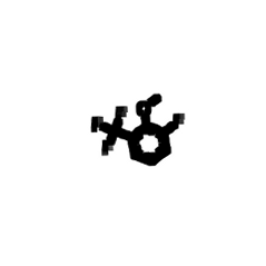 COc1c(F)cccc1C(F)(F)F